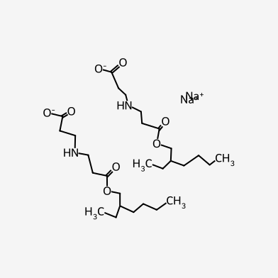 CCCCC(CC)COC(=O)CCNCCC(=O)[O-].CCCCC(CC)COC(=O)CCNCCC(=O)[O-].[Na+].[Na+]